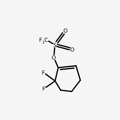 O=S(=O)(OC1=CCCCC1(F)F)C(F)(F)F